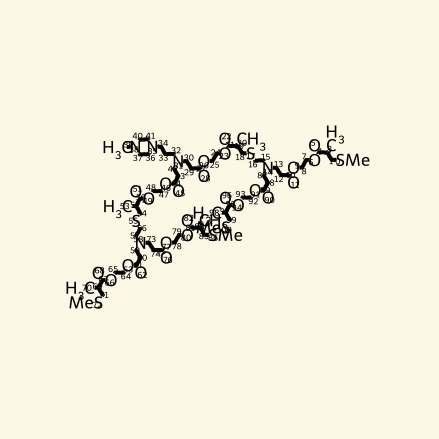 CSCC(C)C(=O)OCCOC(=O)CCN(CCSCC(C)C(=O)OCCOC(=O)CCN(CCCN1CCN(C)CC1)CCC(=O)OCCOC(=O)C(C)CSCCN(CCC(=O)OCCOC(=O)C(C)CSC)CCC(=O)OCCOC(=O)C(C)CSC)CCC(=O)OCCOC(=O)C(C)CSC